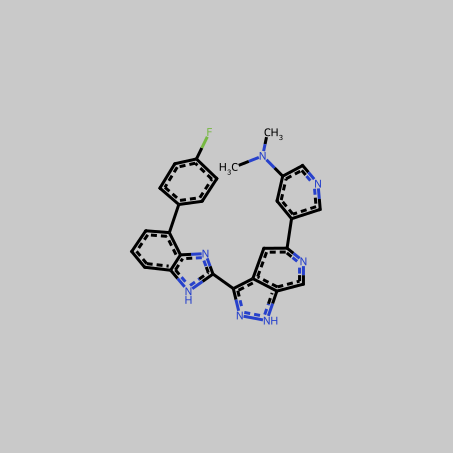 CN(C)c1cncc(-c2cc3c(-c4nc5c(-c6ccc(F)cc6)cccc5[nH]4)n[nH]c3cn2)c1